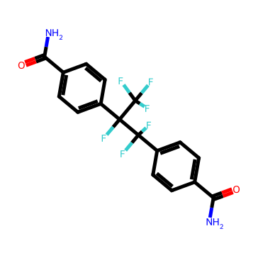 NC(=O)c1ccc(C(F)(F)C(F)(c2ccc(C(N)=O)cc2)C(F)(F)F)cc1